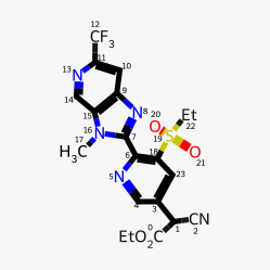 CCOC(=O)C(C#N)c1cnc(-c2nc3cc(C(F)(F)F)ncc3n2C)c(S(=O)(=O)CC)c1